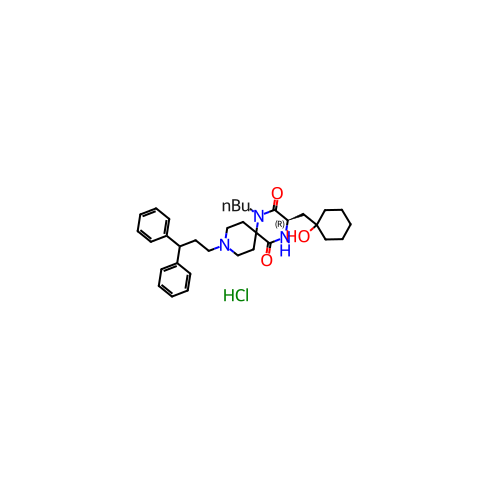 CCCCN1C(=O)[C@@H](CC2(O)CCCCC2)NC(=O)C12CCN(CCC(c1ccccc1)c1ccccc1)CC2.Cl